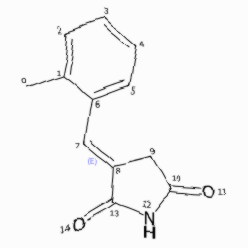 Cc1ccccc1/C=C1\CC(=O)NC1=O